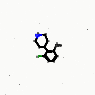 CSc1cccc(F)c1C1CCNCC1